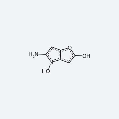 Nc1cc2oc(O)cc2n1O